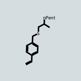 C=Cc1ccc(CSCC(C)CCCCC)cc1